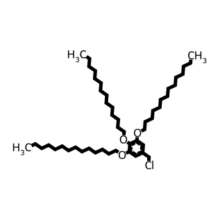 CCCCCCCCCCCCCCOc1cc(CCl)cc(OCCCCCCCCCCCCCC)c1OCCCCCCCCCCCCCC